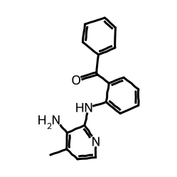 Cc1ccnc(Nc2ccccc2C(=O)c2ccccc2)c1N